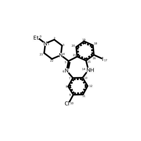 CCN1CCN(C2=Nc3cc(Cl)ccc3Nc3c(I)cccc32)CC1